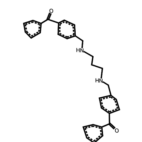 O=C(c1ccccc1)c1ccc(CNCCCNCc2ccc(C(=O)c3ccccc3)cc2)cc1